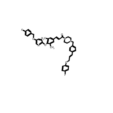 Cc1cc(C=CC(=O)N2CCN(Cc3ccc(C=CCOc4ccc(F)cc4)cc3)CC2)cc(C)c1Oc1ccc(OCc2ccc(F)cc2)cn1